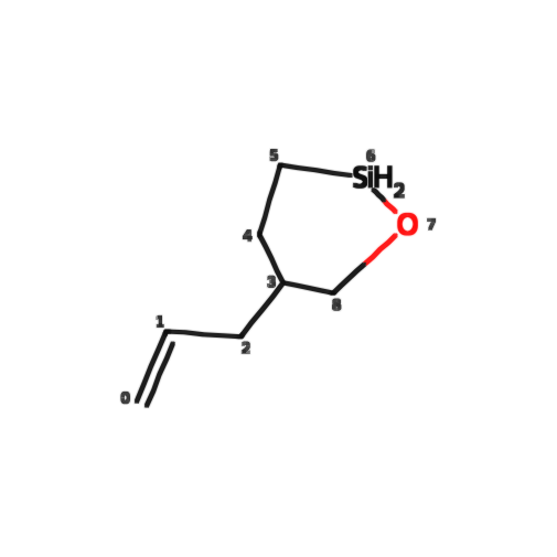 C=CCC1CC[SiH2]OC1